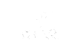 Cc1ccc(C(=O)OC[C@H]2O[C@@H](n3cnc4c(N)ncnc43)C[C@@H]2OC(=O)c2ccc(C)cc2)cc1